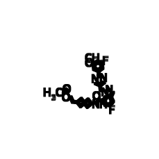 COc1cc(F)cc(-c2ncc(Cn3ncc4cc(F)cc(C(=O)NC5CC6(CC(CCOC(C)=O)C6)C5)c43)cn2)c1